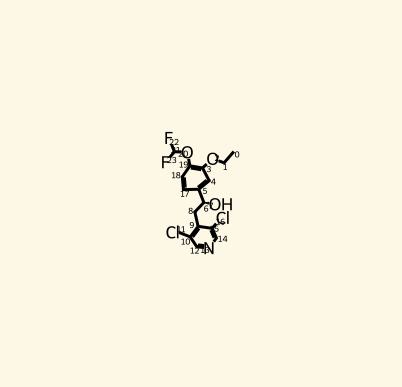 CCOc1cc([C@@H](O)Cc2c(Cl)cncc2Cl)ccc1OC(F)F